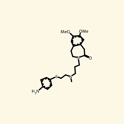 COc1cc2c(cc1OC)CC(=O)N(CCCN(C)CCSc1ccc(N)cc1)CC2